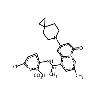 Cc1cc([C@@H](C)Nc2ccc(Cl)nc2C(=O)O)c2cc(N3CCC4(CC3)CC4)cc(=O)n2c1